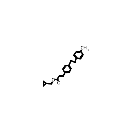 Cc1ccc(CCc2ccc(C=CC(=O)OCC3CC3)cc2)cc1